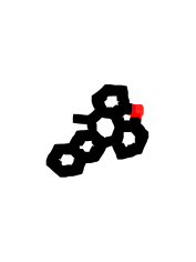 CC(C)c1cccc2oc3cccc(-c4ccc5ccccc5c4)c3c12